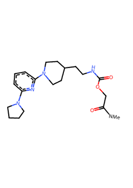 CNC(=O)COC(=O)NCCC1CCN(c2cccc(N3CCCC3)n2)CC1